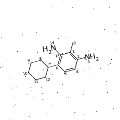 Cc1c(N)ccc(C2CCCCC2)c1N